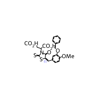 COc1ccc(/C=C2/SC(=S)N(C(CC(=O)O)C(=O)O)C2=O)cc1OCc1ccccc1